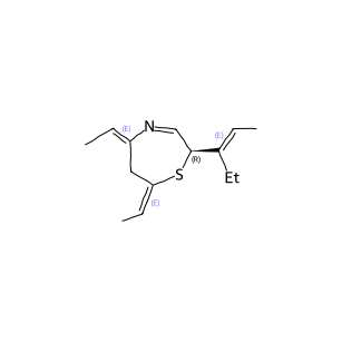 C/C=C1\C/C(=C\C)S[C@H](/C(=C/C)CC)C=N1